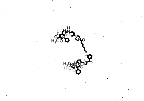 CNC(C)C(=O)N[C@H](C(=O)N1CCCC1c1nc(C(=O)c2cccc(OCCCCCCC(=O)N3CCN(c4ccc(Nc5ncc6c(C)c(C(C)=O)c(=O)n(C7CCCC7)c6n5)nc4)CC3)c2)cs1)C1CCCCC1